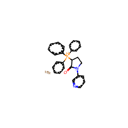 Br.O=C1C([PH](c2ccccc2)(c2ccccc2)c2ccccc2)CCN1c1cccnc1